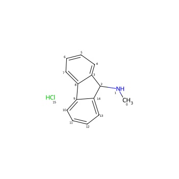 CNC1c2ccccc2-c2ccccc21.Cl